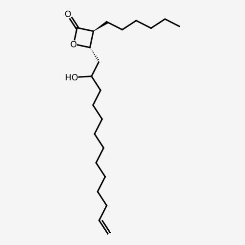 C=CCCCCCCCCCC(O)C[C@@H]1OC(=O)[C@H]1CCCCCC